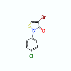 O=c1c(Br)csn1-c1ccc(Cl)cc1